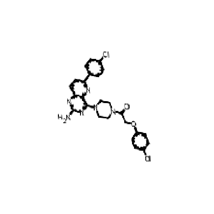 Nc1nc(N2CCN(C(=O)COc3ccc(Cl)cc3)CC2)c2nc(-c3ccc(Cl)cc3)ccc2n1